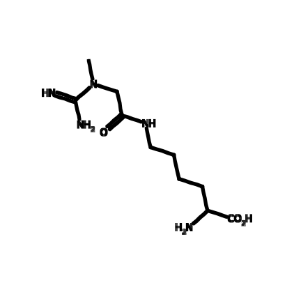 CN(CC(=O)NCCCCC(N)C(=O)O)C(=N)N